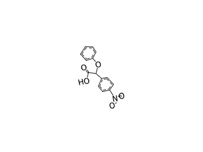 O=C(O)C(Oc1ccccc1)c1ccc([N+](=O)[O-])cc1